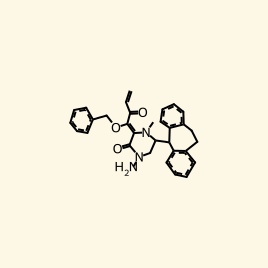 C=CC(=O)/C(OCc1ccccc1)=C1/C(=O)N(N)CC(C2c3ccccc3CCc3ccccc32)N1C